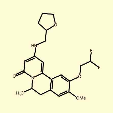 COc1cc2c(cc1OCC(F)F)-c1cc(NCC3CCCO3)cc(=O)n1C(C)C2